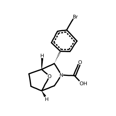 O=C(O)N1C[C@@H]2CC[C@@H](O2)[C@@H]1c1ccc(Br)cc1